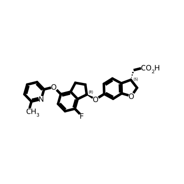 Cc1cccc(Oc2ccc(F)c3c2CC[C@H]3Oc2ccc3c(c2)OC[C@H]3CC(=O)O)n1